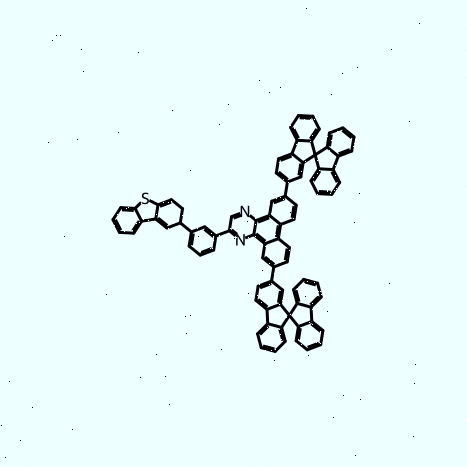 C1=c2sc3ccccc3c2=CC(c2cccc(-c3cnc4c5cc(-c6ccc7c(c6)C6(c8ccccc8-c8ccccc86)c6ccccc6-7)ccc5c5ccc(-c6ccc7c(c6)C6(c8ccccc8-c8ccccc86)c6ccccc6-7)cc5c4n3)c2)C1